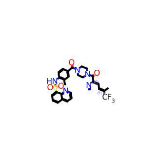 C=N/C(=C\C=C(/C)C(F)(F)F)C(=O)N1CCN(C(=O)c2ccc(NS(=O)(=O)c3cccc4cccnc34)c(C)c2)CC1